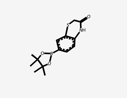 CC1(C)OB(c2ccc3c(c2)SCC(=O)N3)OC1(C)C